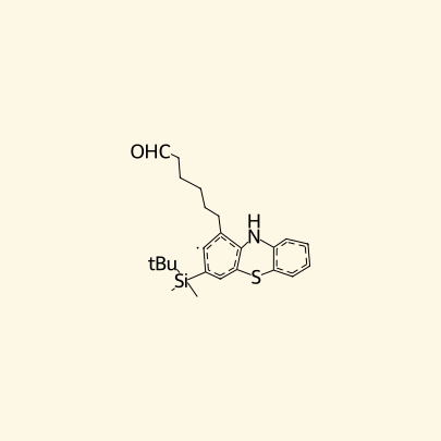 CC(C)(C)[Si](C)(C)c1[c]c(CCCCCC=O)c2c(c1)Sc1ccccc1N2